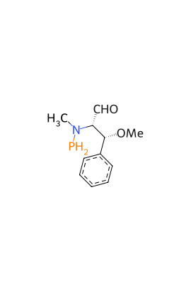 CO[C@H](c1ccccc1)[C@@H](C=O)N(C)P